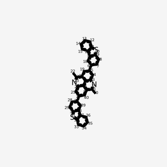 Cc1nc2cc(-c3ccc4sc5ccccc5c4c3)cc3c(C)nc4cc(-c5ccc6sc7ccccc7c6c5)cc1c4c23